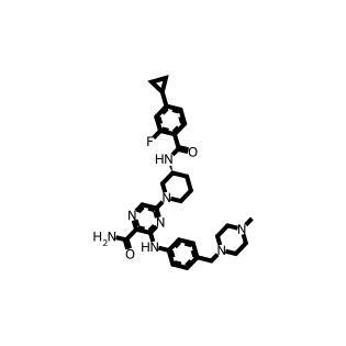 CN1CCN(Cc2ccc(Nc3nc(N4CCC[C@@H](NC(=O)c5ccc(C6CC6)cc5F)C4)cnc3C(N)=O)cc2)CC1